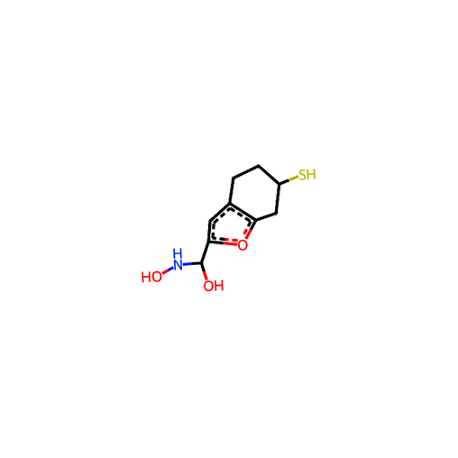 ONC(O)c1cc2c(o1)CC(S)CC2